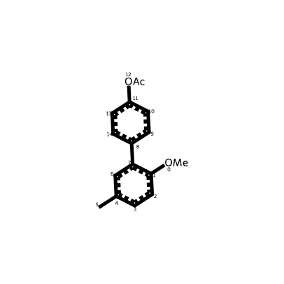 COc1ccc(C)cc1-c1ccc(OC(C)=O)cc1